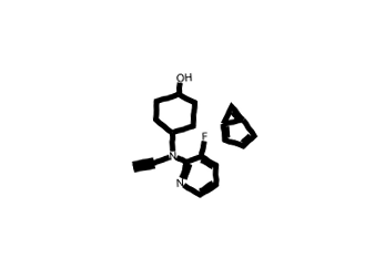 C#CN(c1ncccc1F)C1CCC(O)CC1.c1cc2cc-2c1